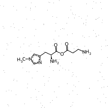 Cn1cnc(C[C@H](N)C(=O)OC(=O)CCN)c1